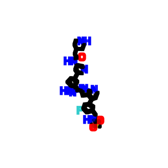 CS(=O)(=O)NCc1cc(F)cc(-c2ccnc3[nH]c(-c4n[nH]c5ccc(-c6cncc(NC(=O)CC7CCNCC7)c6)cc45)cc23)c1